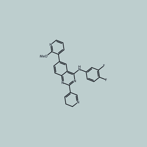 COc1ncccc1-c1ccc2nc(C3=CCCN=C3)nc(Nc3ccc(F)c(F)c3)c2c1